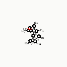 Cc1cc2c3c(c1)N(c1ccc(C(C)(C)C)cc1-c1ccccc1)c1cc4c(cc1B3c1ccc(N3c5ccc(C(C)(C)C)cc5C5(C)CC(C(C)(C)C)CCC35C)cc1N2c1ccc(C(C)(C)C)cc1)CC(C)(C)C4